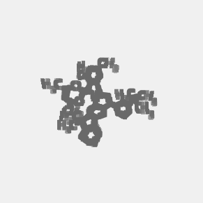 CC1=CC(C)O/C(=C2/c3c(C)cc(C)cc3C3C=C(c4cccc(C(C)(C)C)c4)c4cc5c(cc4N23)C(C)(C)c2ccccc2-5)O1